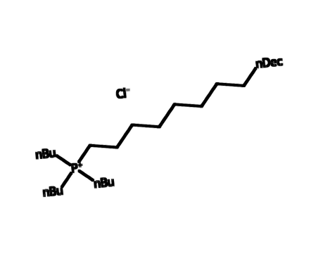 CCCCCCCCCCCCCCCCCC[P+](CCCC)(CCCC)CCCC.[Cl-]